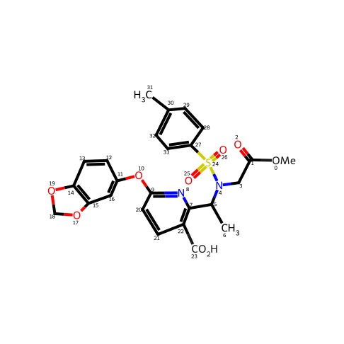 COC(=O)CN(C(C)c1nc(Oc2ccc3c(c2)OCO3)ccc1C(=O)O)S(=O)(=O)c1ccc(C)cc1